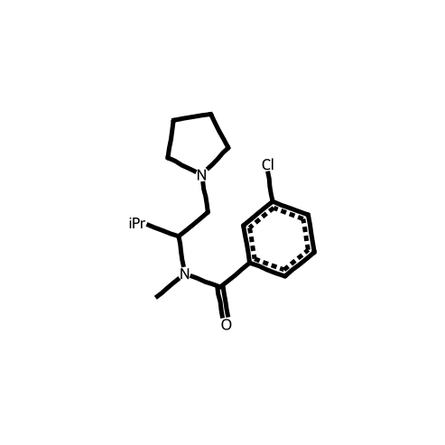 CC(C)C(CN1CCCC1)N(C)C(=O)c1cccc(Cl)c1